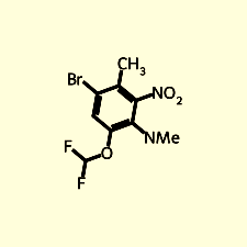 CNc1c(OC(F)F)cc(Br)c(C)c1[N+](=O)[O-]